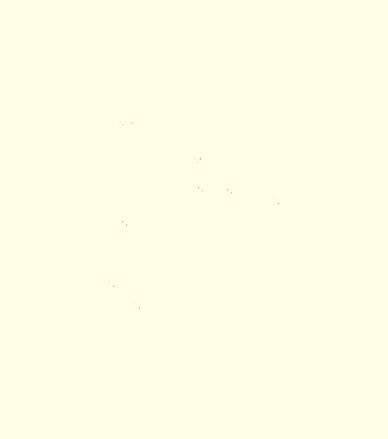 COC(CC1=C(C#N)C(c2cccc3nonc23)c2c[nH]nc2N1)OC